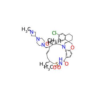 CO[C@@]1(CN2CCN(C3CN(C)C3)CC2)/C=C/C[C@H](C)[C@@H](C)S(=O)(=O)NC(=O)c2ccc3c(c2)N(C[C@@H]2CC[C@H]21)C[C@@]1(CCCc2cc(Cl)ccc21)CO3